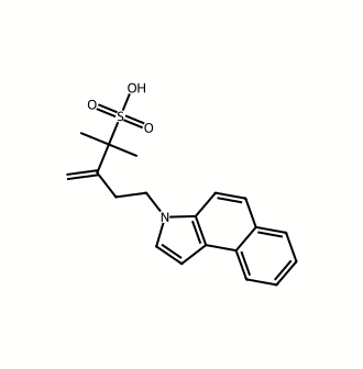 C=C(CCn1ccc2c3ccccc3ccc21)C(C)(C)S(=O)(=O)O